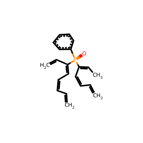 C=C/C=C\C=C(/C=C)P(=O)(C(/C=C\C=C)=C/C)c1ccccc1